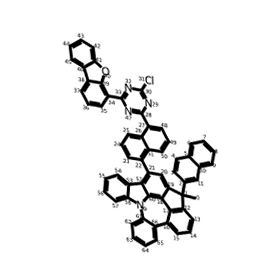 CC1(c2ccc3ccccc3c2)c2cccc3c2-c2c1cc(-c1cccc4c(-c5nc(Cl)nc(-c6cccc7c6oc6ccccc67)n5)cccc14)c1c4ccccc4n(c21)-c1ccccc1-3